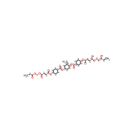 C=CC(=O)OCOC(=O)/C=C/C(=O)Oc1ccc(C(=O)Oc2ccc(OC(=O)c3ccc(OC(=O)/C=C/C(=O)OCOC(=O)C=C)cc3)c(C)c2)cc1